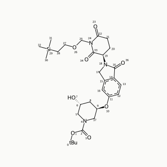 CC(C)(C)OC(=O)N1C[C@H](O)C[C@@H](Oc2ccc3c(c2)CN([C@@H]2CCC(=O)N(COCC[Si](C)(C)C)C2=O)C3=O)C1